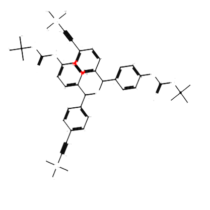 CC(C)(C)OC(=O)Oc1ccc(C(OC(c2ccc(C#C[Si](C)(C)C)cc2)c2ccc(OC(=O)OC(C)(C)C)cc2)c2ccc(C#C[Si](C)(C)C)cc2)cc1